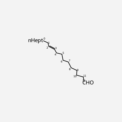 CCCCCCCCC=CCCCCCCCCC=O